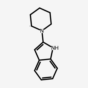 [CH]1CCCCN1c1cc2ccccc2[nH]1